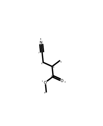 COC(=O)C(C)CC#N